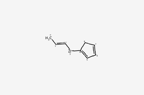 CC=[CH][Zr][C]1=CC=CC1